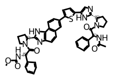 COC(=O)N[C@H](C(=O)N1CCC[C@H]1c1nc2ccc3cc(-c4ccc(-c5cnc([C@@H]6CCCN6C(=O)[C@@H](NC(C)=O)c6ccccc6)[nH]5)s4)ccc3c2[nH]1)c1ccccc1